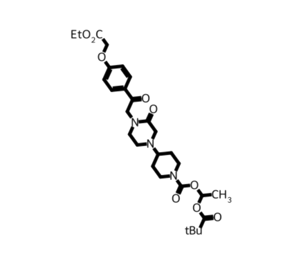 CCOC(=O)COc1ccc(C(=O)CN2CCN(C3CCN(C(=O)OC(C)OC(=O)C(C)(C)C)CC3)CC2=O)cc1